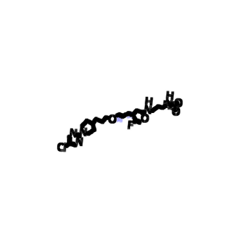 C=C(F)/C(=C\C=C\OCCCC1CCN(c2ncc(Cl)cn2)CC1)CC(=O)NCCCN[SH](=O)=O